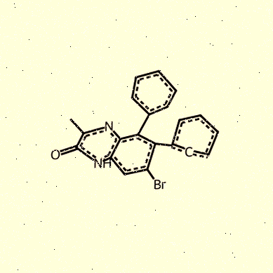 Cc1nc2c(-c3ccccc3)c(-c3ccccc3)c(Br)cc2[nH]c1=O